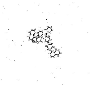 c1ccc(N(c2ccc(-c3ccc(-c4cccc5ccccc45)cc3)cc2)c2ccc(-c3cccc4ccc5oc6ccccc6c5c34)cc2)cc1